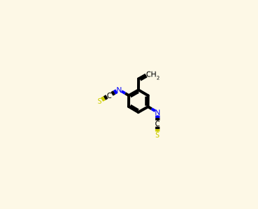 C=Cc1cc(N=C=S)ccc1N=C=S